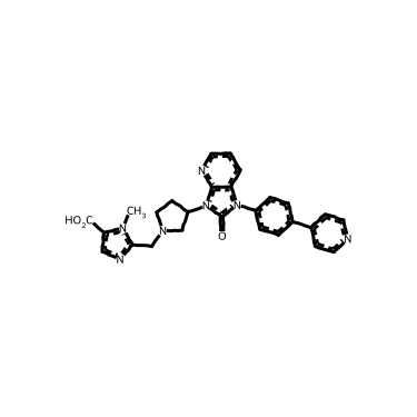 Cn1c(C(=O)O)cnc1CN1CCC(n2c(=O)n(-c3ccc(-c4ccncc4)cc3)c3cccnc32)C1